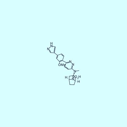 COc1cc(-c2cn[nH]c2)ccc1-c1ccc(N(C)[C@H]2C[C@H]3CC[C@@H](C2)N3C(=O)O)nn1